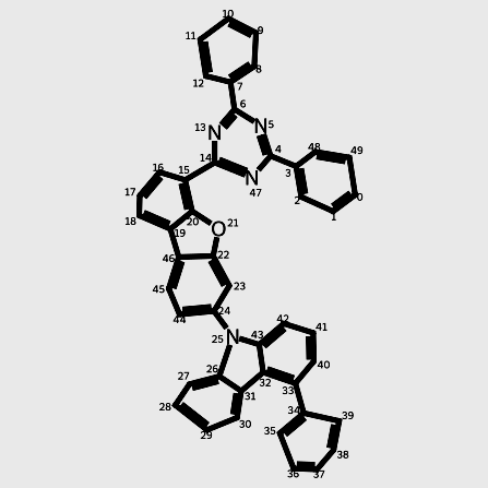 c1ccc(-c2nc(-c3ccccc3)nc(-c3cccc4c3oc3cc(-n5c6ccccc6c6c(-c7ccccc7)cccc65)ccc34)n2)cc1